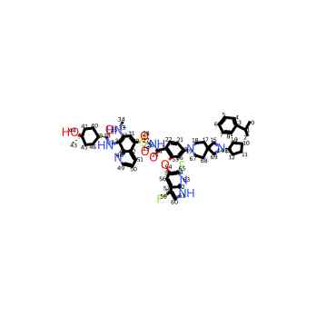 CC(C)c1ccccc1[C@@H]1CCC[C@@H]1N1CC2(CCN(c3ccc(C(=O)NS(=O)(=O)c4cc([NH+](C)[O-])c(NC[C@H]5CC[C@](C)(O)CC5)c5ncccc45)c(Oc4cc5c(F)c[nH]c5nc4F)c3)CC2)C1